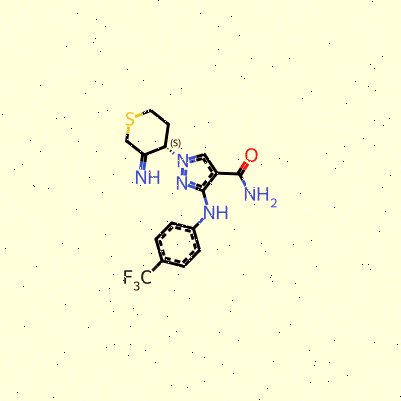 N=C1CSCC[C@@H]1n1cc(C(N)=O)c(Nc2ccc(C(F)(F)F)cc2)n1